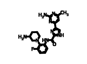 Cc1cc(-c2c[nH]c(C(=O)Nc3cccc(F)c3N3CCCC(N)C3)n2)nc(N)n1